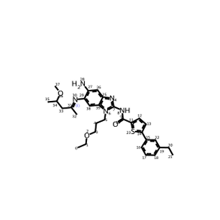 CCOCCCn1c(NC(=O)c2ccc(-c3cccc(CC)c3)s2)nc2cc(N)c(/N=C(\C)CC(C)OC)cc21